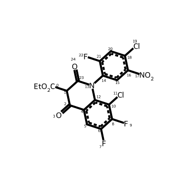 CCOC(=O)C1C(=O)c2cc(F)c(F)c(Cl)c2N(c2cc([N+](=O)[O-])c(Cl)cc2F)C1=O